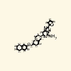 Nc1nc(N2CCN3CC(COc4ccc5c(c4)CCCC5)CCC3C2)cc2nc(-c3ccco3)nn12